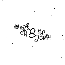 COC(=O)C(NC(=O)OC(C)(C)C)c1cccc2c(C(NC(=O)OC(C)(C)C)C(=O)OC)cccc12